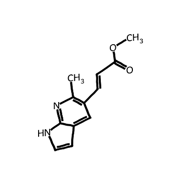 COC(=O)/C=C/c1cc2cc[nH]c2nc1C